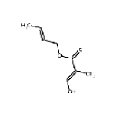 CC=CCOC(=O)C(C)=CO